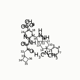 CN(C)C1(c2ccccc2)CCC2(CC1)C[C@@H](c1cc(S(C)(=O)=O)cnc1NC(=O)C(=O)CC1CCC1)NN2